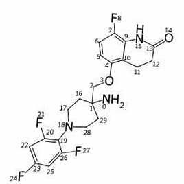 NC1(COc2ccc(F)c3c2CCC(=O)N3)CCN(c2c(F)cc(F)cc2F)CC1